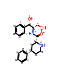 O=C(N[C@@H](CO)[C@@H](O)c1ccccc1)[C@H]1C[C@@H](c2ccccc2)CCN1